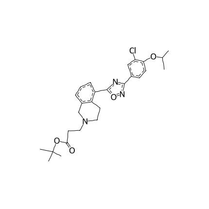 CC(C)Oc1ccc(-c2noc(-c3cccc4c3CCN(CCC(=O)OC(C)(C)C)C4)n2)cc1Cl